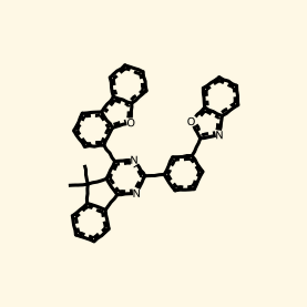 CC1(C)c2ccccc2-c2nc(-c3cccc(-c4nc5ccccc5o4)c3)nc(-c3cccc4c3oc3ccccc34)c21